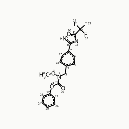 CON(Cc1ccc(-c2noc(C(F)(F)F)n2)cc1)C(=O)Oc1ccccc1